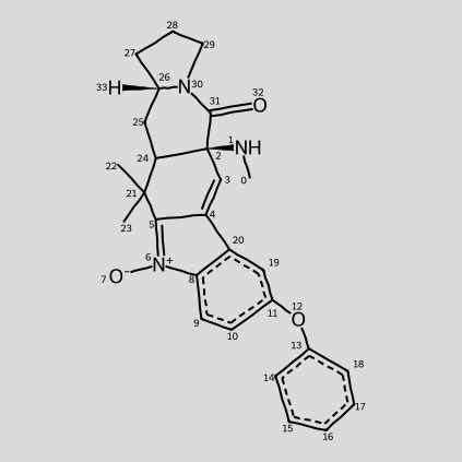 CN[C@@]12C=C3C(=[N+]([O-])c4ccc(Oc5ccccc5)cc43)C(C)(C)C1C[C@@H]1CCCN1C2=O